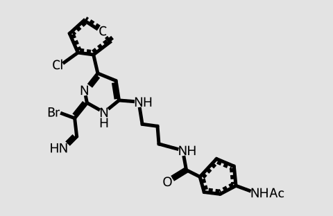 CC(=O)Nc1ccc(C(=O)NCCCNC2=CC(c3ccccc3Cl)=N/C(=C(\Br)C=N)N2)cc1